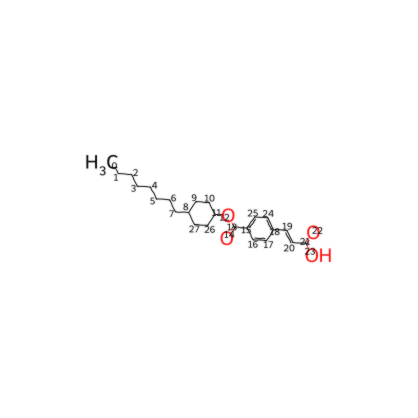 CCCCCCCCC1CCC(OC(=O)c2ccc(C=CC(=O)O)cc2)CC1